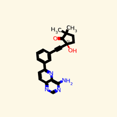 CC1(C)CC[C@](O)(C#Cc2cccc(-c3ccc4ncnc(N)c4n3)c2)C1=O